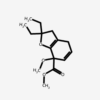 CCC1(CC)CC2=C(O1)C(OC)(C(=O)OC)C=CC2